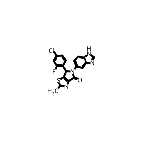 Cc1nc2c(s1)C(c1ccc(Cl)cc1F)N(c1ccc3[nH]cnc3c1)C2=O